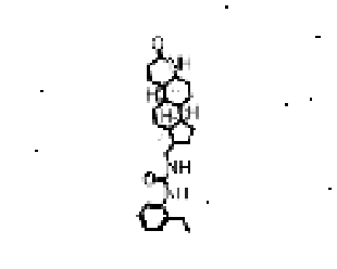 CCc1ccccc1NC(=O)NCC1CC[C@H]2[C@@H]3CCC4NC(=O)CC[C@]4(C)[C@@H]3CC[C@]12C